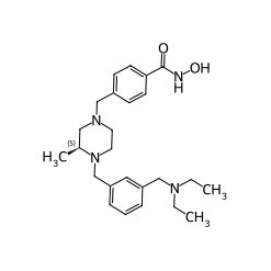 CCN(CC)Cc1cccc(CN2CCN(Cc3ccc(C(=O)NO)cc3)C[C@@H]2C)c1